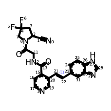 N#CC1CC(F)(F)CN1C(=O)CNC(=O)c1ccncc1/C=C/c1ccc2[nH]cnc2c1